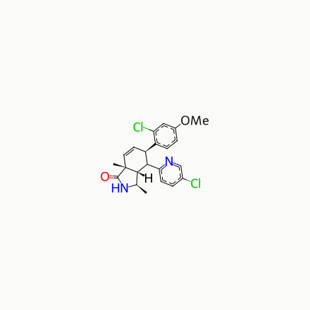 COc1ccc([C@@H]2C=C[C@@]3(C)C(=O)N[C@H](C)[C@H]3C2c2ccc(Cl)cn2)c(Cl)c1